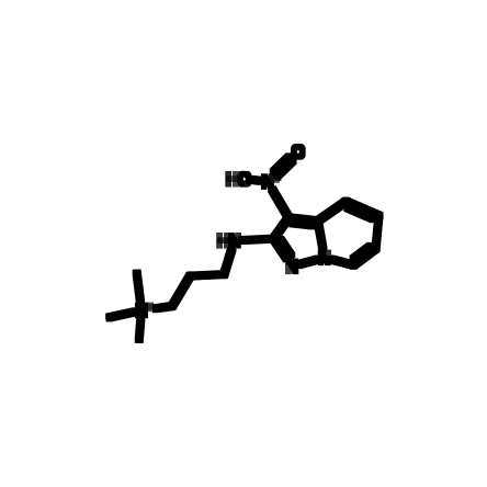 C[N+](C)(C)CCCNc1nn2ccccc2c1[N+](=O)O